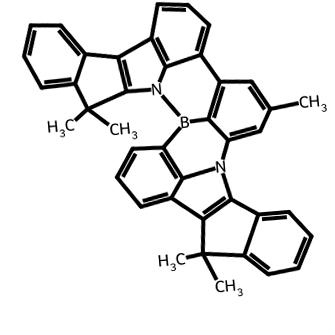 Cc1cc2c3c(c1)-n1c4c(c5cccc(c51)B3n1c3c(c5cccc-2c51)-c1ccccc1C3(C)C)C(C)(C)c1ccccc1-4